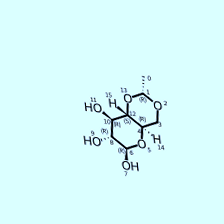 C[C@@H]1OC[C@H]2O[C@@H](O)[C@H](O)[C@@H](O)[C@@H]2O1